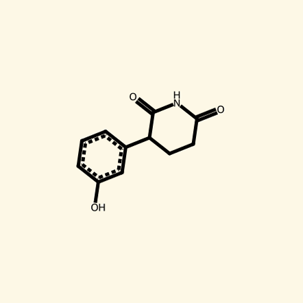 O=C1CCC(c2cccc(O)c2)C(=O)N1